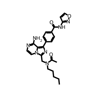 CCCCCN(Cc1nc(-c2ccc(C(=O)Nc3ccon3)cc2)c2c(N)nccn12)C(C)=O